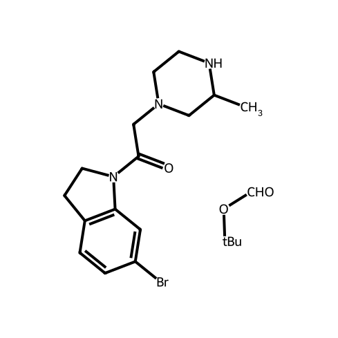 CC(C)(C)OC=O.CC1CN(CC(=O)N2CCc3ccc(Br)cc32)CCN1